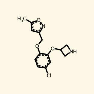 Cc1cc(COc2ccc(Cl)cc2OC2CNC2)no1